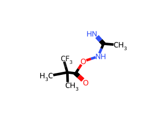 CC(=N)NOC(=O)C(C)(C)C(F)(F)F